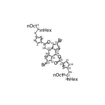 CCCCCCCCC(CCCCCC)Cc1ccc(C(=O)Cc2c3cc(Br)sc3c(OC(=O)c3ccc(CC(CCCCCC)CCCCCCCC)s3)c3cc(Br)sc23)s1